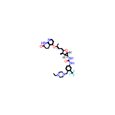 C=C1/C(=C\C=C(/C)Oc2ccnc3c2CCC(=O)N3)O[C@@H]2[C@@H](NC(=O)Nc3ccc(CN4CCN(CC)CC4)c(C(F)(F)F)c3)[C@H]12